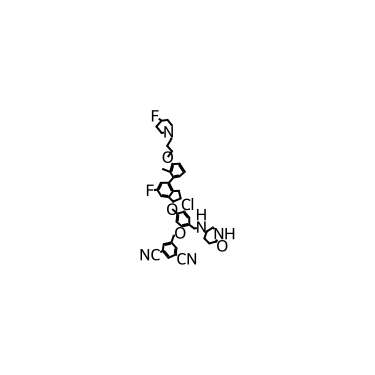 Cc1c(OCCCN2CCC(F)CC2)cccc1-c1cc(F)cc2c1CC[C@@H]2Oc1cc(OCc2cc(C#N)cc(C#N)c2)c(CN[C@H]2CCC(=O)NC2)cc1Cl